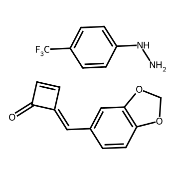 NNc1ccc(C(F)(F)F)cc1.O=C1C=CC1=Cc1ccc2c(c1)OCO2